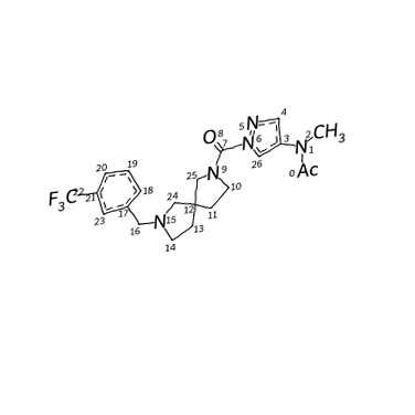 CC(=O)N(C)c1cnn(C(=O)N2CCC3(CCN(Cc4cccc(C(F)(F)F)c4)C3)C2)c1